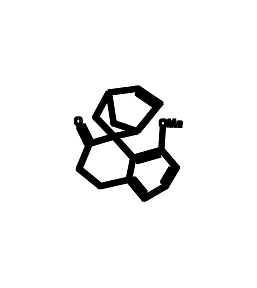 COc1cccc2c1C1(CC3C=CC1C3)C(=O)CC2